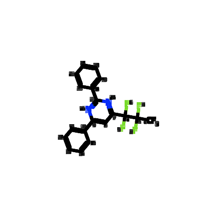 FC(F)(F)C(F)(F)C(F)(F)c1cc(-c2ccccc2)nc(-c2ccccc2)n1